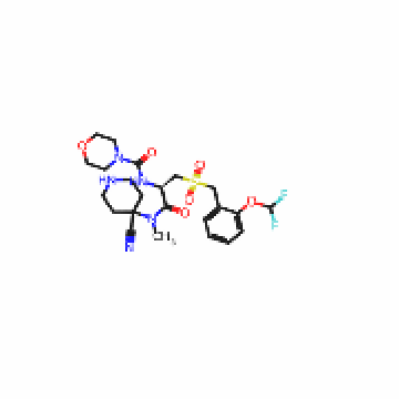 CN(C(=O)[C@H](CS(=O)(=O)Cc1ccccc1OC(F)F)NC(=O)N1CCOCC1)C1(C#N)CCNCC1